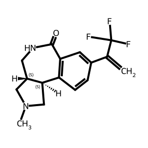 C=C(c1ccc2c(c1)C(=O)NC[C@H]1CN(C)C[C@H]21)C(F)(F)F